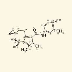 Cc1cc(NC(=O)c2c3c(c(C)n2C)C(=O)NC2(CC3)CC2)ccc1F